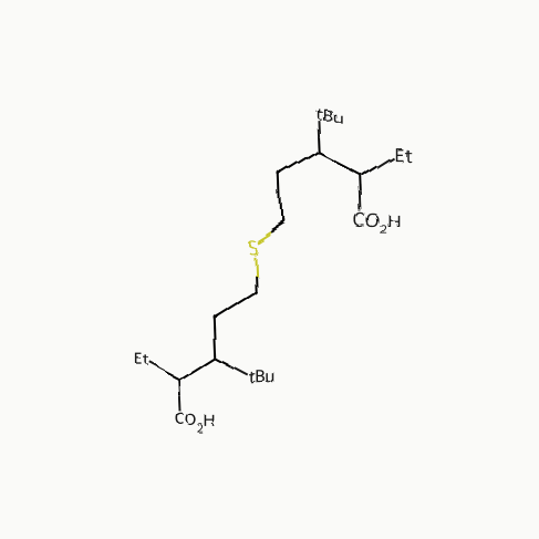 CCC(C(=O)O)C(CCSCCC(C(CC)C(=O)O)C(C)(C)C)C(C)(C)C